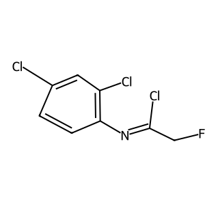 FC/C(Cl)=N/c1ccc(Cl)cc1Cl